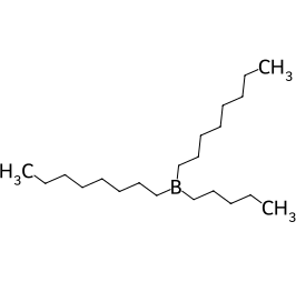 CCCCCCCCB(CCCCC)CCCCCCCC